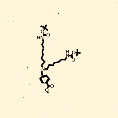 COC(=O)c1ccc(CN(CCCCCCCCNC(=O)OC(C)(C)C)CCCCCCCNC(=O)OC(C)(C)C)cc1